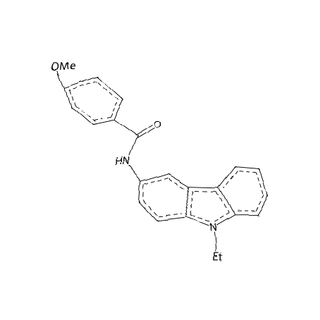 CCn1c2ccccc2c2cc(NC(=O)c3ccc(OC)cc3)ccc21